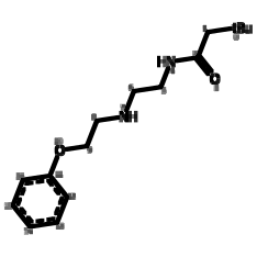 CC(C)(C)CC(=O)NCCNCCOc1ccccc1